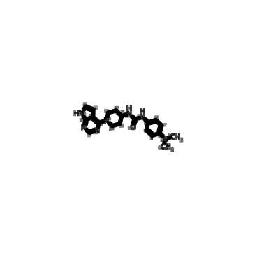 CN(C)c1ccc(NC(=O)NC2CCN(c3ncnc4[nH]ccc34)CC2)cc1